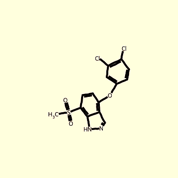 CS(=O)(=O)c1ccc(Oc2ccc(Cl)c(Cl)c2)c2cn[nH]c12